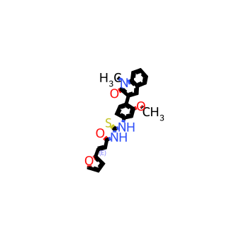 COc1cc(NC(=S)NC(=O)/C=C/c2ccco2)ccc1-c1cc2ccccc2n(C)c1=O